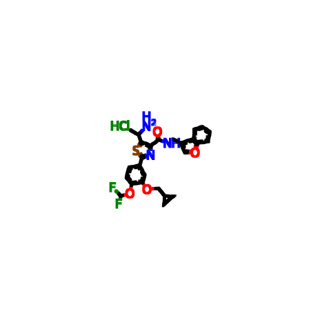 CC(N)c1sc(-c2ccc(OC(F)F)c(OCC3CC3)c2)nc1C(=O)NCc1coc2ccccc12.Cl